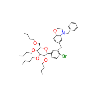 CCCCOC[C@H]1O[C@@H](c2ccc(Br)c(Cc3ccc4c(c3)N(Cc3ccccc3)CCO4)c2)[C@H](OCCCC)[C@@H](OCCCC)[C@@H]1OCCCC